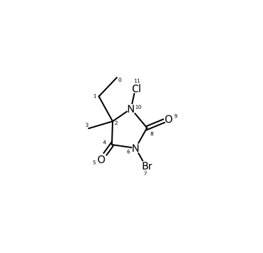 CCC1(C)C(=O)N(Br)C(=O)N1Cl